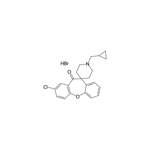 Br.O=C1c2cc(Cl)ccc2Oc2ccccc2C12CCN(CC1CC1)CC2